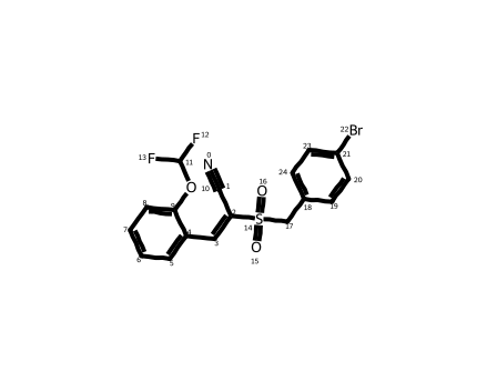 N#CC(=Cc1ccccc1OC(F)F)S(=O)(=O)Cc1ccc(Br)cc1